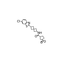 O=C(NC1CC2(C1)CC(c1nc3ccc(Cl)cc3s1)C2)C1CCS(=O)(=O)C1